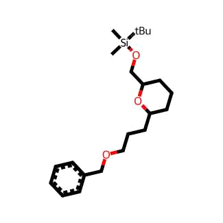 CC(C)(C)[Si](C)(C)OCC1CCCC(CCCOCc2ccccc2)O1